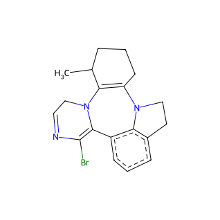 CC1CCCC2=C1N1CC=NC(Br)=C1c1cccc3c1N2CC3